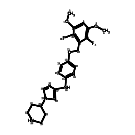 COc1cc(OC)c(F)c(COc2cnc(Nc3cn(C4CCNCC4)cn3)nc2)c1F